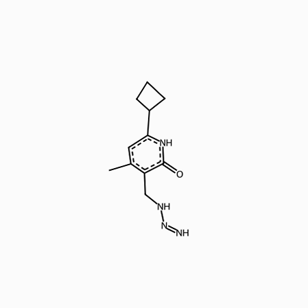 Cc1cc(C2CCC2)[nH]c(=O)c1CNN=N